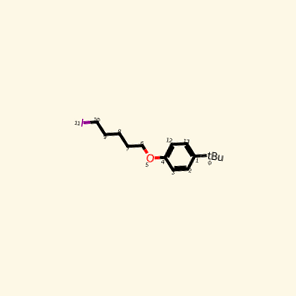 CC(C)(C)c1ccc(OCCCCCI)cc1